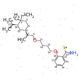 C=C[C@]1(C)CC[C@@H](C(=C)COCCCCOc2ccccc2C(N)=S)C[C@H]1C(=C)C